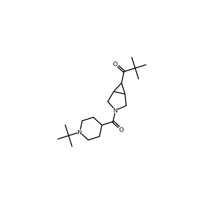 CC(C)(C)C(=O)C1C2CN(C(=O)C3CCN(C(C)(C)C)CC3)CC21